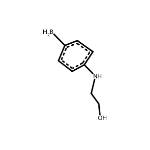 Bc1ccc(NCCO)cc1